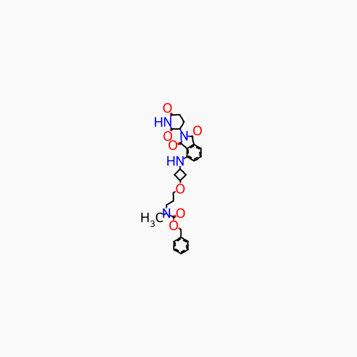 CN(CCCOC1CC(Nc2cccc3c2C(=O)N(C2CCC(=O)NC2=O)C3=O)C1)C(=O)OCc1ccccc1